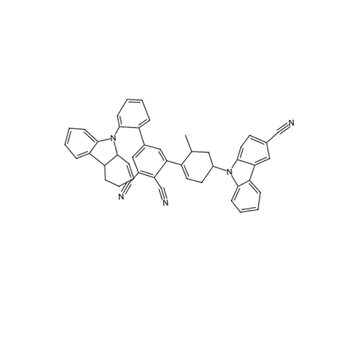 CC1CC(n2c3ccccc3c3cc(C#N)ccc32)CC=C1c1cc(-c2ccccc2N2c3ccccc3C3CCC=CC32)cc(C#N)c1C#N